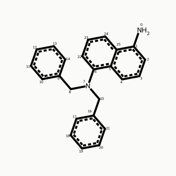 Nc1cccc2c(N(Cc3ccccc3)Cc3ccccc3)cccc12